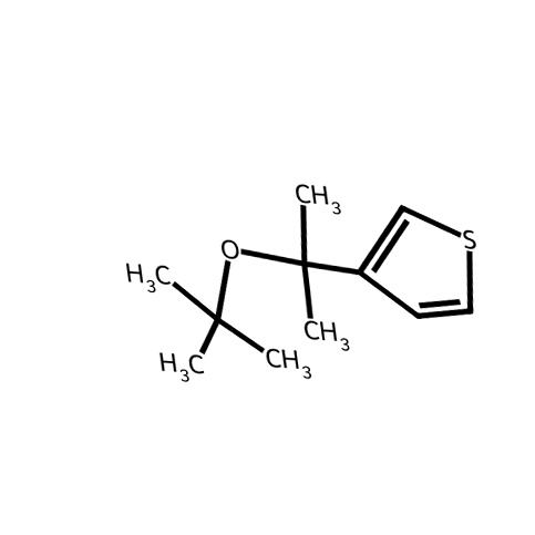 CC(C)(C)OC(C)(C)c1ccsc1